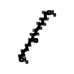 C=CC=CCCCCC(=O)CCCCCCCCCC